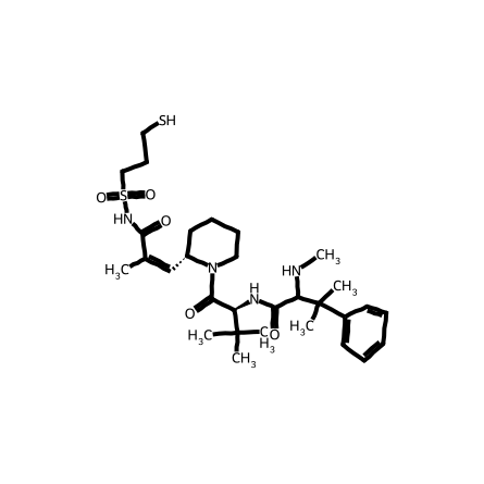 CNC(C(=O)N[C@H](C(=O)N1CCCC[C@H]1C=C(C)C(=O)NS(=O)(=O)CCCS)C(C)(C)C)C(C)(C)c1ccccc1